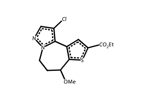 CCOC(=O)c1cc2c(s1)C(OC)CCn1ncc(Cl)c1-2